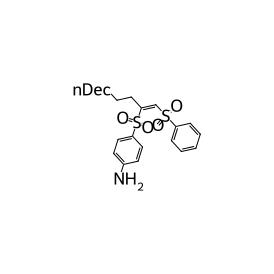 CCCCCCCCCCCC/C(=C/S(=O)(=O)c1ccccc1)S(=O)(=O)c1ccc(N)cc1